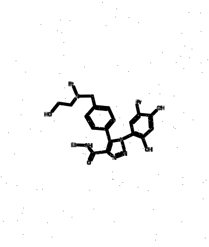 CCNC(=O)c1nnn(-c2cc(C(C)C)c(O)cc2O)c1-c1ccc(CN(CC)CCO)cc1